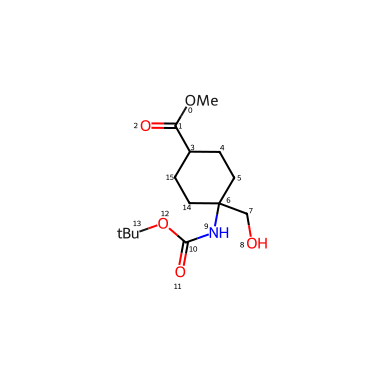 COC(=O)C1CCC(CO)(NC(=O)OC(C)(C)C)CC1